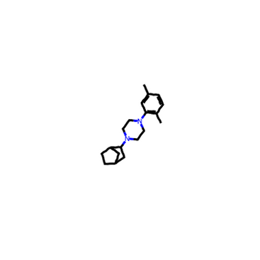 Cc1ccc(C)c(N2CCN(C3CC4CCC3C4)CC2)c1